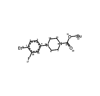 CCc1ccc(N2CCN(C(=O)OC(C)(C)C)CC2)cc1F